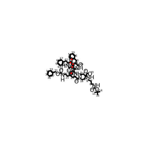 COC(=O)C1(NCCCNC(=O)OC(C)(C)C)CCN(C(=O)C(CCCCNC(=O)OCc2ccccc2)NC(=O)C(CC(C)C)NC(=O)C(Cc2ccccc2)NC(=O)C(Cc2ccccc2)NC(=O)OC(C)(C)C)CC1